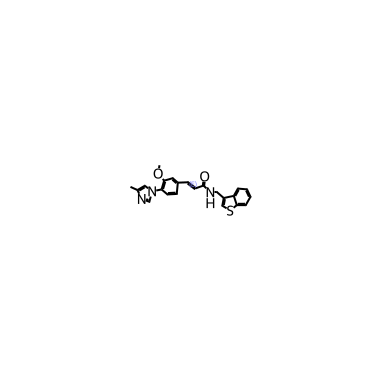 COc1cc(/C=C/C(=O)NCc2csc3ccccc23)ccc1-n1cnc(C)c1